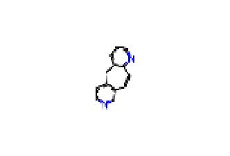 C1=Cc2ncccc2Cc2ccncc21